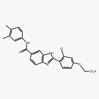 Cc1ccc(NC(=O)c2ccc3nc(-c4ccc(OCC(=O)O)cc4Cl)[nH]c3c2)cc1C